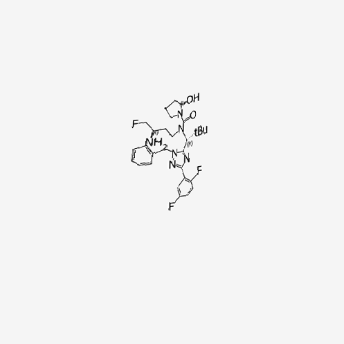 CC(C)(C)[C@H](c1nc(-c2cc(F)ccc2F)nn1Cc1ccccc1)N(CC[C@@H](N)CF)C(=O)N1CCC[C@H]1O